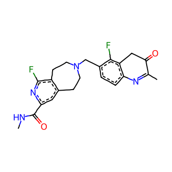 CNC(=O)c1cc2c(c(F)n1)CCN(Cc1ccc3c(c1F)CC(=O)C(C)=N3)CC2